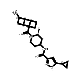 C[C@H]1CC(NC(=O)c2cc(C3CC3)on2)CCN1C(=O)C12C3C4C1C1C2C3C41N